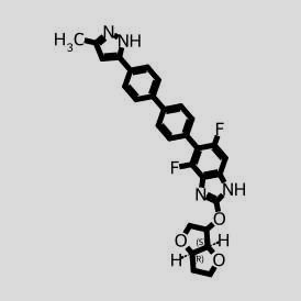 Cc1cc(-c2ccc(-c3ccc(-c4c(F)cc5[nH]c(OC6CO[C@@H]7CCO[C@H]67)nc5c4F)cc3)cc2)[nH]n1